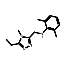 CCc1nnc(CNc2c(C)cccc2C)n1C